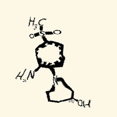 CS(=O)(=O)c1ccc(N2CCC[C@H](O)C2)c(N)c1